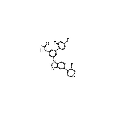 CC(=O)Nc1cc(-c2ccc(F)cc2F)cc(-n2cnc3cc(-c4ccncc4F)ccc32)c1